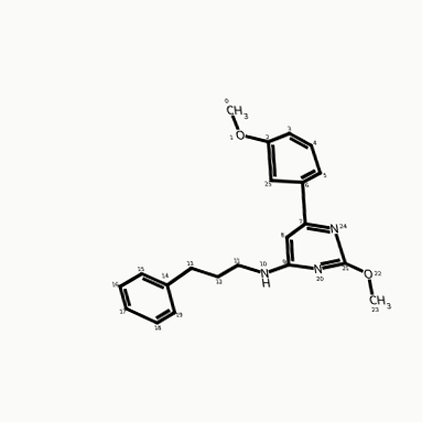 COc1cccc(-c2cc(NCCCc3ccccc3)nc(OC)n2)c1